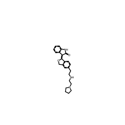 O=C1Nc2ccccc2/C1=C1\OCc2cc(CCNCCN3CCCC3)ccc21